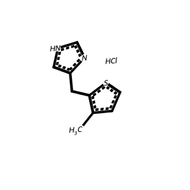 Cc1ccsc1Cc1c[nH]cn1.Cl